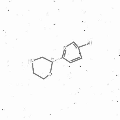 [2H]c1ccc([C@H]2CNCCO2)nc1